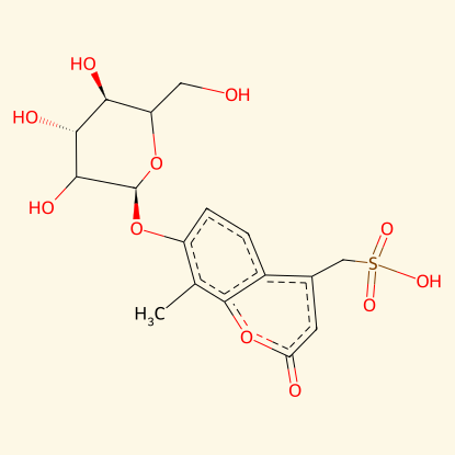 Cc1c(O[C@@H]2OC(CO)[C@H](O)[C@@H](O)C2O)ccc2c(CS(=O)(=O)O)cc(=O)oc12